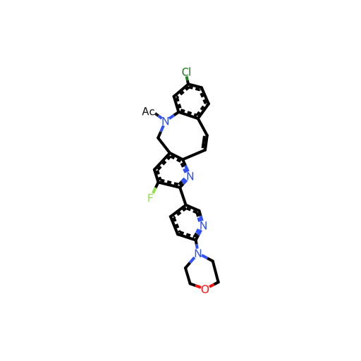 CC(=O)N1Cc2cc(F)c(-c3ccc(N4CCOCC4)nc3)nc2C=Cc2ccc(Cl)cc21